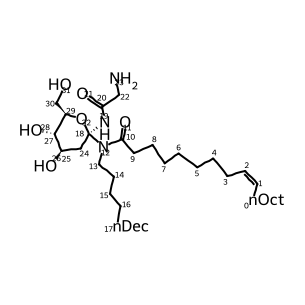 CCCCCCCC/C=C\CCCCCCCC(=O)N(CCCCCCCCCCCCCC)[C@@]1(NC(=O)CN)C[C@@H](O)[C@H](O)[C@@H](CO)O1